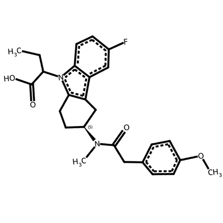 CCC(C(=O)O)n1c2c(c3cc(F)ccc31)C[C@@H](N(C)C(=O)Cc1ccc(OC)cc1)CC2